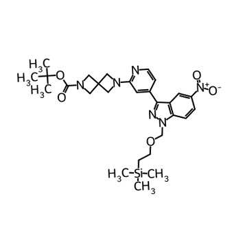 CC(C)(C)OC(=O)N1CC2(C1)CN(c1cc(-c3nn(COCC[Si](C)(C)C)c4ccc([N+](=O)[O-])cc34)ccn1)C2